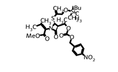 C=C(CO[Si](C)(C)C(C)(C)C)S[C@@H]1[C@@H]([C@@H](C)OC(=O)OCc2ccc([N+](=O)[O-])cc2)C(=O)N1C(C(=O)OC)=C(C)C